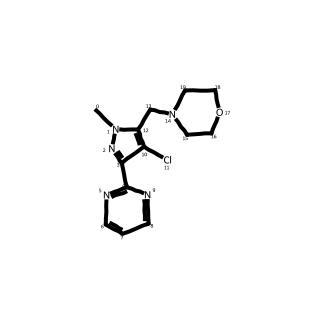 Cn1nc(-c2ncccn2)c(Cl)c1CN1CCOCC1